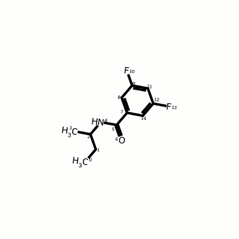 CCC(C)NC(=O)c1cc(F)cc(F)c1